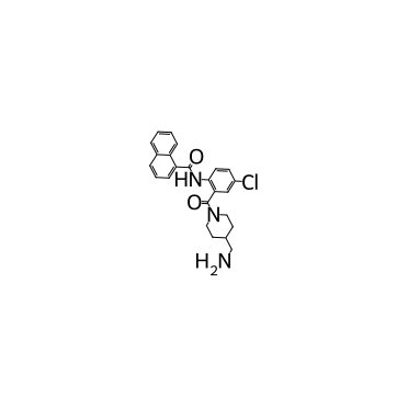 NCC1CCN(C(=O)c2cc(Cl)ccc2NC(=O)c2cccc3ccccc23)CC1